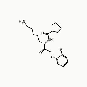 NCCCCC[C@H](NC(=O)C1CCCC1)C(=O)COc1ccccc1F